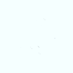 C=C1CC[C@H]2[C@H](CN)[C@@H]([C@@]3(C)Cc4cc[nH]c4C[C@@H]3CO)CC[C@]12C